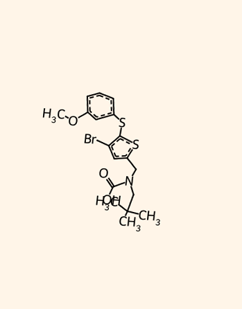 COc1cccc(Sc2sc(CN(CC(C)(C)C)C(=O)O)cc2Br)c1